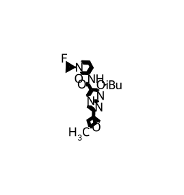 CC[C@H](C)Oc1nc2nc(C34COC(C)(C3)C4)cn2cc1C(=O)Nc1cccn([C@H]2C[C@H]2F)c1=O